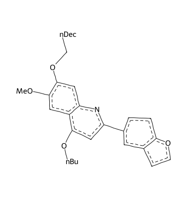 CCCCCCCCCCCOc1cc2nc(-c3ccc4occc4c3)cc(OCCCC)c2cc1OC